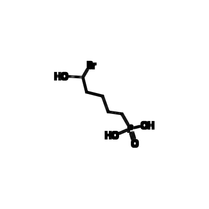 O=P(O)(O)CCCCC(O)Br